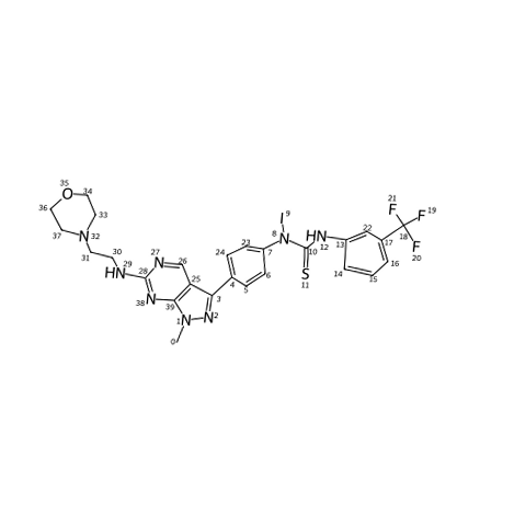 Cn1nc(-c2ccc(N(I)C(=S)Nc3cccc(C(F)(F)F)c3)cc2)c2cnc(NCCN3CCOCC3)nc21